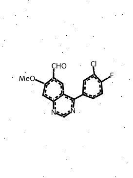 COc1cc2ncnc(-c3ccc(F)c(Cl)c3)c2cc1C=O